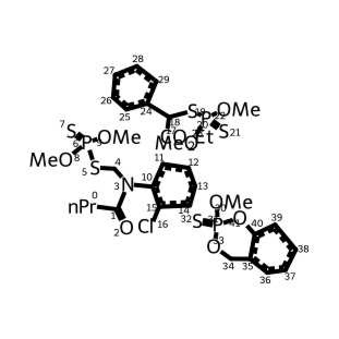 CCCC(=O)N(CSP(=S)(OC)OC)c1ccccc1Cl.CCOC(=O)C(SP(=S)(OC)OC)c1ccccc1.COP1(=S)OCc2ccccc2O1